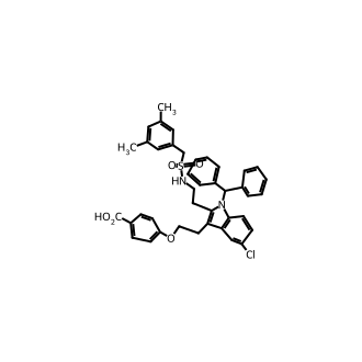 Cc1cc(C)cc(CS(=O)(=O)NCCc2c(CCOc3ccc(C(=O)O)cc3)c3cc(Cl)ccc3n2C(c2ccccc2)c2ccccc2)c1